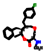 C[C@@H]1OC(=O)[C@@H](NC(=O)O)COC[C@H](Cc2ccc(Cl)cc2)[C@H]1Cc1ccccc1